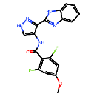 COc1cc(F)c(C(=O)Nc2c[nH]nc2-c2nc3ccccc3[nH]2)c(F)c1